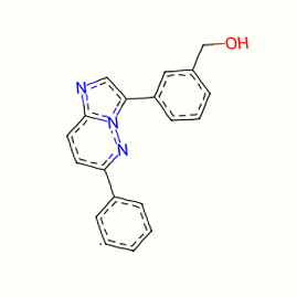 OCc1cccc(-c2cnc3ccc(-c4c[c]ccc4)nn23)c1